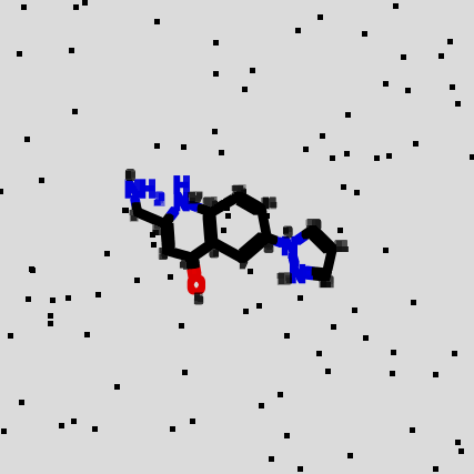 NCc1cc(=O)c2cc(-n3cccn3)ccc2[nH]1